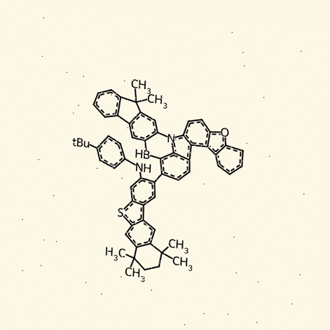 CC(C)(C)c1ccc(Nc2cc3sc4cc5c(cc4c3cc2-c2ccc3c4c6c(ccc4n4c3c2Bc2cc3c(cc2-4)C(C)(C)c2ccccc2-3)oc2ccccc26)C(C)(C)CCC5(C)C)cc1